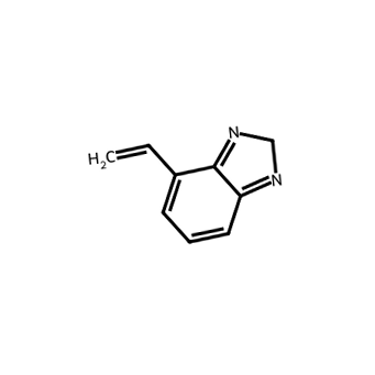 C=Cc1cccc2c1=NCN=2